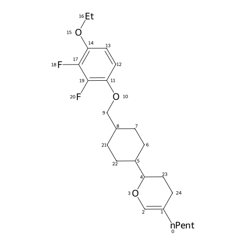 CCCCCC1=COC(C2CCC(COc3ccc(OCC)c(F)c3F)CC2)CC1